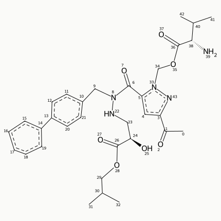 CC(=O)c1cc(C(=O)N(Cc2ccc(-c3ccccc3)cc2)NC[C@@H](O)C(=O)OCC(C)C)n(COC(=O)[C@@H](N)C(C)C)n1